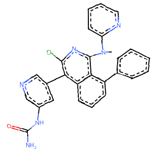 CN(c1ccccn1)c1nc(Cl)c(-c2cncc(NC(N)=O)c2)c2cccc(-c3ccccc3)c12